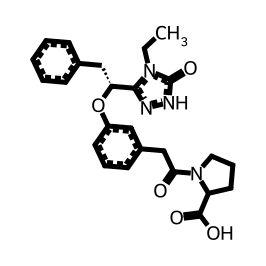 CCn1c([C@@H](Cc2ccccc2)Oc2cccc(CC(=O)N3CCCC3C(=O)O)c2)n[nH]c1=O